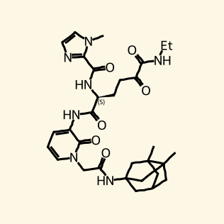 CCNC(=O)C(=O)CC[C@H](NC(=O)c1nccn1C)C(=O)Nc1cccn(CC(=O)NC23CC4CC(C)(C2)C(C)(C4)C3)c1=O